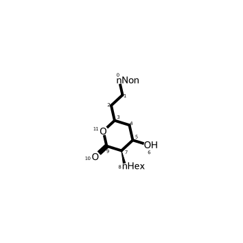 CCCCCCCCCCCC1CC(O)[C@@H](CCCCCC)C(=O)O1